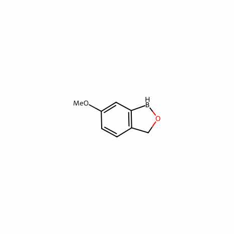 COc1ccc2c(c1)BOC2